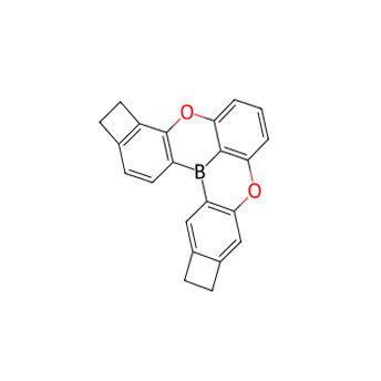 c1cc2c3c(c1)Oc1c(ccc4c1CC4)B3c1cc3c(cc1O2)CC3